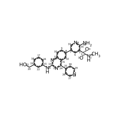 CNS(=O)(=O)c1cc(-c2ccc3nc(Nc4cccc(CO)c4)nc(-c4ccncc4)c3c2)cnc1N